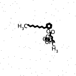 CCCCCCCCCc1ccccc1OC(=O)C(CCCC)OS(=O)(=O)O